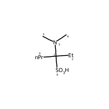 CCCC(CC)(N(C)C)S(=O)(=O)O